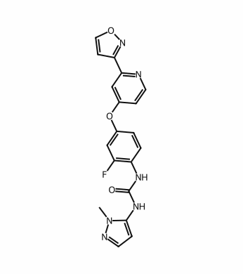 Cn1nccc1NC(=O)Nc1ccc(Oc2ccnc(-c3ccon3)c2)cc1F